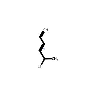 C=C/C=C/C(C)CC